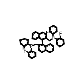 Fc1ccccc1P(Cc1ccc2ccccc2c1-c1c(CP(c2ccccc2F)c2ccccc2F)ccc2ccccc12)c1ccccc1F